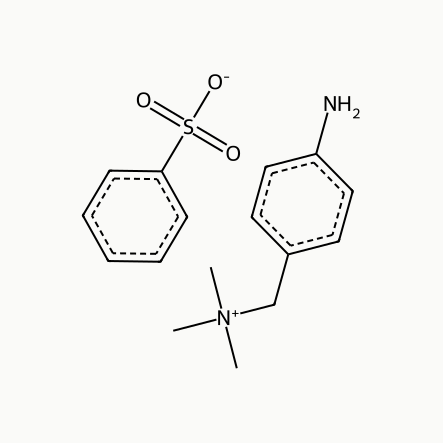 C[N+](C)(C)Cc1ccc(N)cc1.O=S(=O)([O-])c1ccccc1